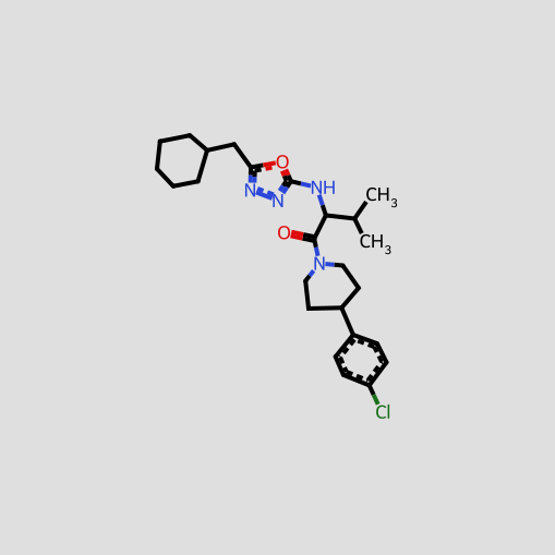 CC(C)C(Nc1nnc(CC2CCCCC2)o1)C(=O)N1CCC(c2ccc(Cl)cc2)CC1